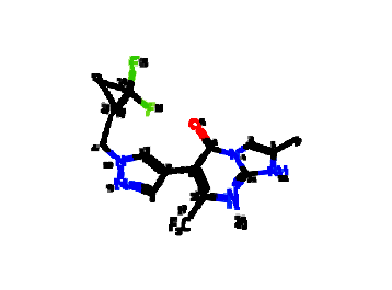 Cc1cn2c(=O)c(-c3cnn(C[C@H]4CC4(F)F)c3)c(C(F)(F)F)nc2[nH]1